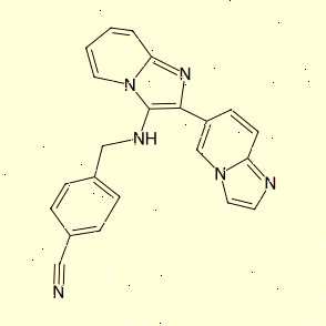 N#Cc1ccc(CNc2c(-c3ccc4nccn4c3)nc3ccccn23)cc1